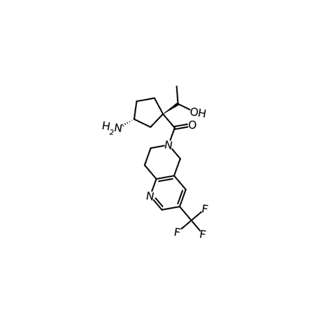 CC(O)[C@]1(C(=O)N2CCc3ncc(C(F)(F)F)cc3C2)CC[C@@H](N)C1